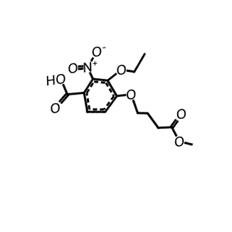 CCOc1c(OCCCC(=O)OC)ccc(C(=O)O)c1[N+](=O)[O-]